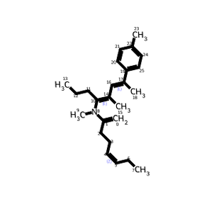 C=C(CC/C=C\CC)N(C)/C(CCC)=C(C)/C=C(\C)c1ccc(C)cc1